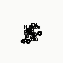 CC(C)(C)OC(=O)N(OCc1ccccc1)C1C=C(CO[Si](C)(C)C(C)(C)C)C(C(N)=O)N(C(=O)OCC2c3ccccc3-c3ccccc32)C1